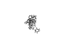 O=C(CCc1ccccc1)NC[C@H](NC(=O)c1c(Cl)cccc1Cl)C(=O)O